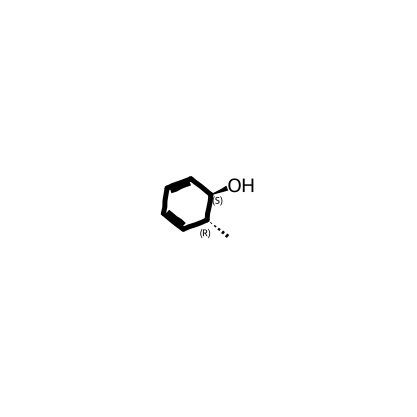 C[C@@H]1C=CC=C[C@H]1O